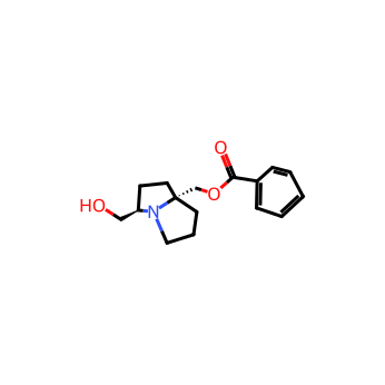 O=C(OC[C@]12CCCN1[C@@H](CO)CC2)c1ccccc1